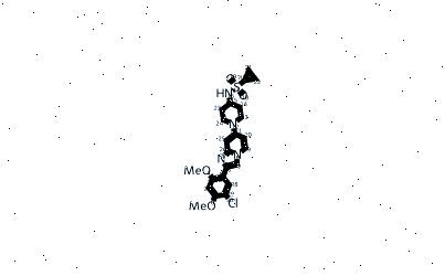 COc1cc(OC)c(-c2cn3ccc(N4CCC(NS(=O)(=O)C5CC5)CC4)cc3n2)cc1Cl